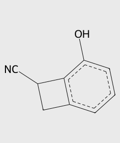 N#CC1Cc2cccc(O)c21